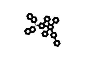 c1ccc(-c2ccc(-c3cc(-c4ccccc4)c4c5ccccc5c5cc(N(c6ccc7ccccc7c6)c6ccc7ccccc7c6)ccc5c4c3-c3ccccc3)cc2)cc1